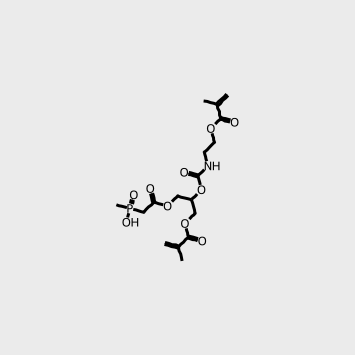 C=C(C)C(=O)OCCNC(=O)OC(COC(=O)CP(C)(=O)O)COC(=O)C(=C)C